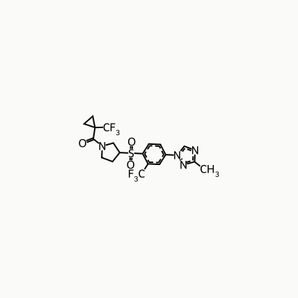 Cc1ncn(-c2ccc(S(=O)(=O)C3CCN(C(=O)C4(C(F)(F)F)CC4)C3)c(C(F)(F)F)c2)n1